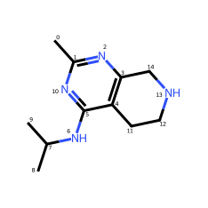 Cc1nc2c(c(NC(C)C)n1)CCNC2